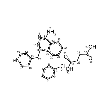 Clc1ccccc1.Nc1nnc(Cc2ccncc2)c2ccccc12.O=C(O)CCC(=O)O